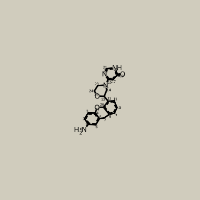 Nc1ccc2c(c1)Cc1cccc(C3CN(c4cc(=O)[nH]cn4)CCO3)c1O2